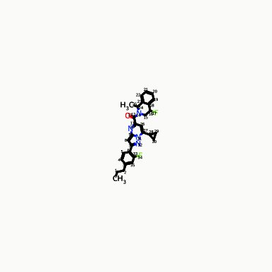 CCCc1ccc(-c2cc3nc(C(=O)N4CC(F)c5ccccc5C4C)cc(C4CC4)n3n2)c(F)c1